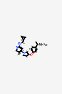 CC(=O)N[C@@H](C)c1ccc(O[C@@H]2CCN(c3cc(NCC4CC4)ncc3F)C2)cc1